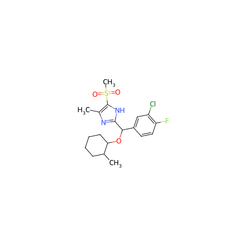 Cc1nc(C(OC2CCCCC2C)c2ccc(F)c(Cl)c2)[nH]c1S(C)(=O)=O